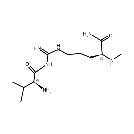 CN[C@@H](CCCNC(=N)NC(=O)[C@@H](N)C(C)C)C(N)=O